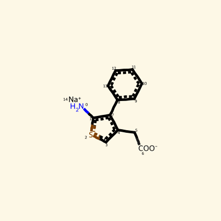 Nc1scc(CC(=O)[O-])c1-c1ccccc1.[Na+]